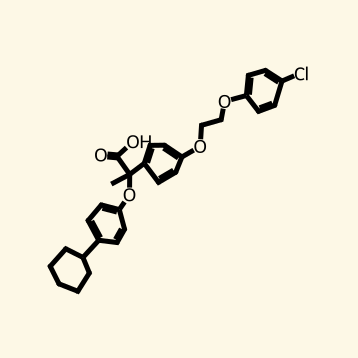 CC(Oc1ccc(C2CCCCC2)cc1)(C(=O)O)c1ccc(OCCOc2ccc(Cl)cc2)cc1